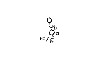 CCC(Oc1ccc2c(Cc3ccccc3)noc2c1Cl)C(=O)O